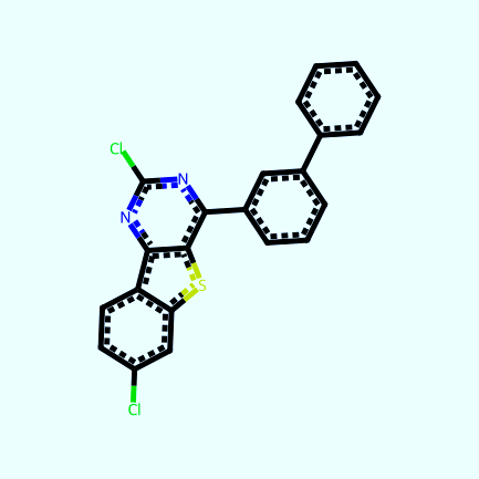 Clc1ccc2c(c1)sc1c(-c3cccc(-c4ccccc4)c3)nc(Cl)nc12